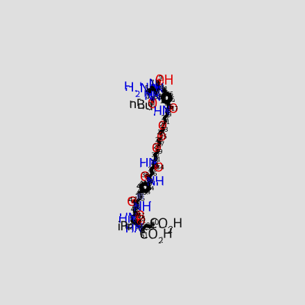 CCCCOc1nc(N)c2nc(O)n(Cc3ccc(C(=O)NCCCOCCOCCOCCCNC(=O)CCC(=O)Nc4ccc(/C=C/C(=O)NCC(=O)NC(C(=O)NC(CCC(=O)O)C(=O)O)C(C)C)cc4)cc3)c2n1